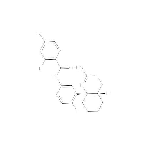 NC1=N[C@@]2(c3cc(NC(=O)c4ccc(Cl)cc4F)ccc3F)CCCC[C@H]2CS1